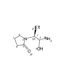 CC[C@@H](C(N)O)N1CCCC1=O